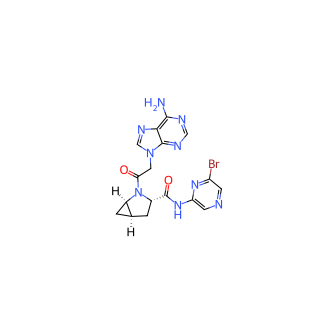 Nc1ncnc2c1ncn2CC(=O)N1[C@@H]2C[C@@H]2C[C@H]1C(=O)Nc1cncc(Br)n1